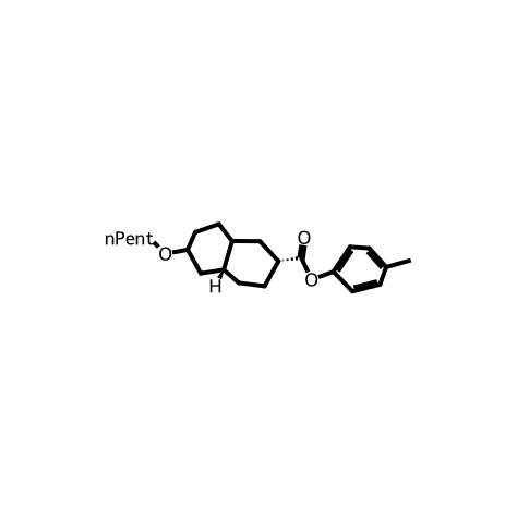 CCCCCOC1CCC2C[C@H](C(=O)Oc3ccc(C)cc3)CC[C@@H]2C1